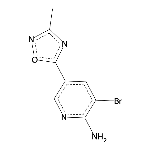 Cc1noc(-c2cnc(N)c(Br)c2)n1